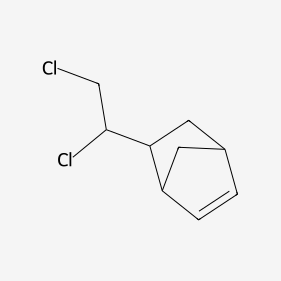 ClCC(Cl)C1CC2C=CC1C2